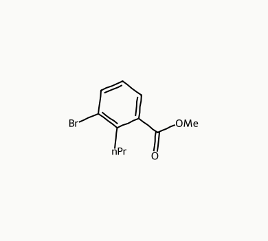 CCCc1c(Br)cccc1C(=O)OC